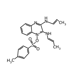 CC=CNc1nc2ccccc2[n+](OS(=O)(=O)c2ccc(C)cc2)c1NC=CC